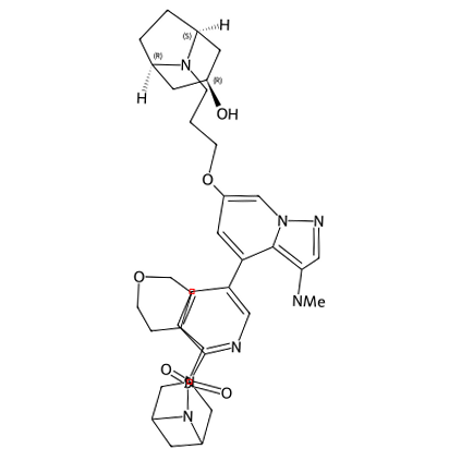 CNc1cnn2cc(OCCCN3[C@@H]4CC[C@H]3C[C@@H](O)C4)cc(-c3ccc(N4CC5CC(C4)N5S(=O)(=O)CC4CCOCC4)nc3)c12